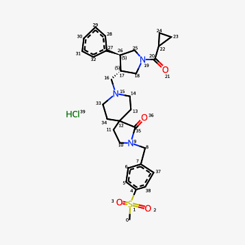 CS(=O)(=O)c1ccc(CN2CCC3(CCN(C[C@H]4CN(C(=O)C5CC5)C[C@@H]4c4ccccc4)CC3)C2=O)cc1.Cl